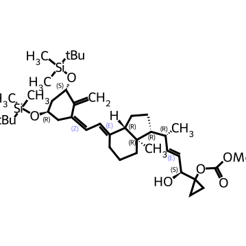 C=C1/C(=C\C=C2/CCC[C@]3(C)[C@@H]([C@H](C)/C=C/[C@H](O)C4(OC(=O)OC)CC4)CC[C@@H]23)C[C@@H](O[Si](C)(C)C(C)(C)C)C[C@@H]1O[Si](C)(C)C(C)(C)C